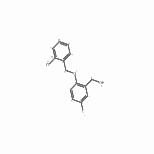 OCc1cc(F)ccc1OCc1ccccc1Cl